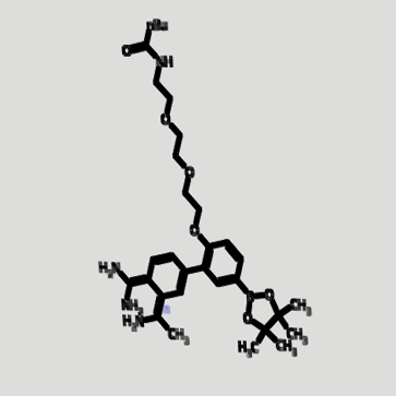 CCCCC(=O)NCCOCCOCCOc1ccc(B2OC(C)(C)C(C)(C)O2)cc1-c1ccc(=C(N)N)/c(=C(/C)N)c1